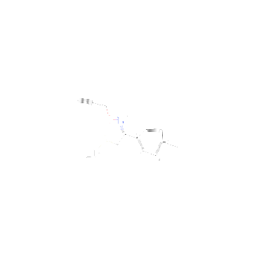 C#CCO/N=C(\CSCC)c1ccc(C)cc1